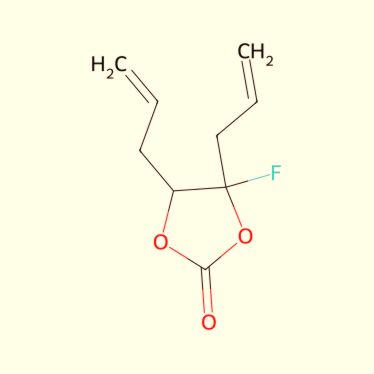 C=CCC1OC(=O)OC1(F)CC=C